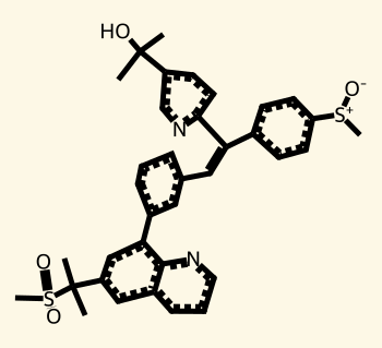 C[S+]([O-])c1ccc(/C(=C/c2cccc(-c3cc(C(C)(C)S(C)(=O)=O)cc4cccnc34)c2)c2ccc(C(C)(C)O)cn2)cc1